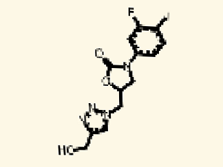 O=C1OC(Cn2cc(CO)nn2)CN1c1ccc(I)c(F)c1